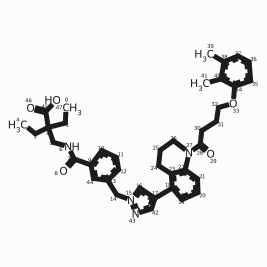 CCC(CC)(CNC(=O)c1cccc(Cn2cc(-c3cccc4c3CCCN4C(=O)CCCOc3cccc(C)c3C)cn2)c1)C(=O)O